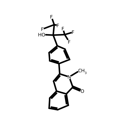 Cn1c(-c2ccc(C(O)(C(F)(F)F)C(F)(F)F)cc2)cc2ccccc2c1=O